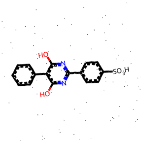 O=S(=O)(O)c1ccc(-c2nc(O)c(-c3ccccc3)c(O)n2)cc1